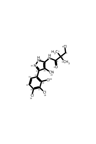 CC(C)(CCl)C(=O)Nc1[nH]nc(-c2ccc(Cl)c(Cl)c2Cl)c1C#N